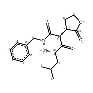 CC(C)C[C@H](N)C(=O)N(C(=O)OCc1ccccc1)[C@H]1CCOC1=O